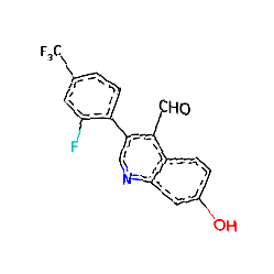 O=Cc1c(-c2ccc(C(F)(F)F)cc2F)cnc2cc(O)ccc12